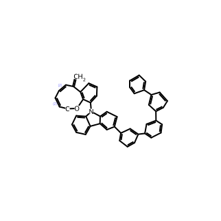 C=C1/C=C\C=C/COc2c1cccc2-n1c2ccccc2c2cc(-c3cccc(-c4cccc(-c5cccc(-c6ccccc6)c5)c4)c3)ccc21